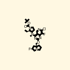 CC[C@@H]1[C@H](N(C)c2nc(OC[C@@]34CCCN3C[C@H](F)C4)nc3c(F)c(Cl)ncc23)CCN1C(=O)OC(C)(C)C